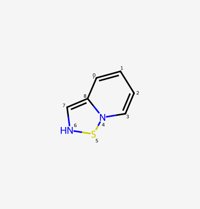 [C]1=CC=CN2SNC=C12